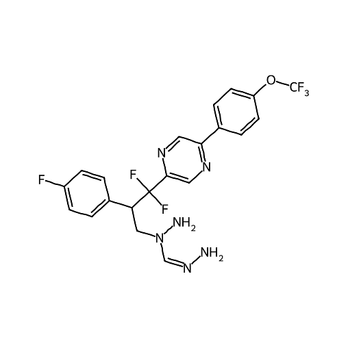 N/N=C\N(N)CC(c1ccc(F)cc1)C(F)(F)c1cnc(-c2ccc(OC(F)(F)F)cc2)cn1